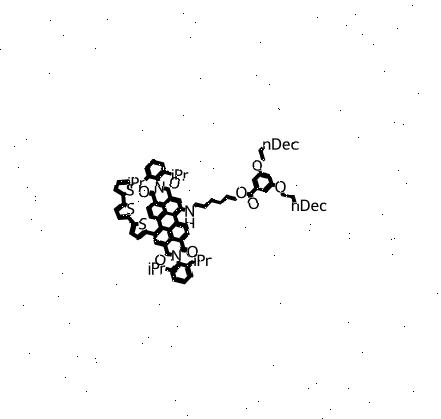 CCCCCCCCCCCCOc1cc(OCCCCCCCCCCCC)cc(C(=O)OCCCCCCNc2cc3c4c(ccc5c6c(-c7ccc(-c8ccc(-c9cccs9)s8)s7)cc7c8c(ccc(c2c45)c86)C(=O)N(c2c(C(C)C)cccc2C(C)C)C7=O)C(=O)N(c2c(C(C)C)cccc2C(C)C)C3=O)c1